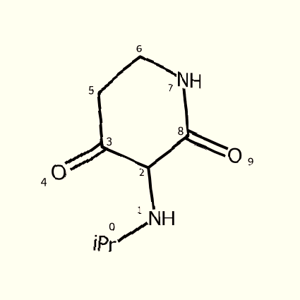 CC(C)NC1C(=O)CCNC1=O